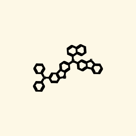 c1ccc(N(c2ccccc2)c2ccc3oc4cc(N(c5ccc6c(c5)sc5ccccc56)c5cccc6ccccc56)ccc4c3c2)cc1